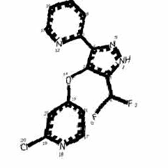 FC(F)c1[nH]nc(-c2ccccn2)c1Oc1ccnc(Cl)c1